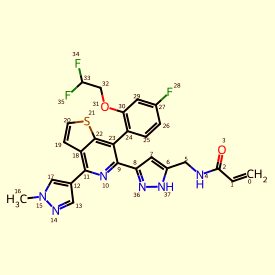 C=CC(=O)NCc1cc(-c2nc(-c3cnn(C)c3)c3ccsc3c2-c2ccc(F)cc2OCC(F)F)n[nH]1